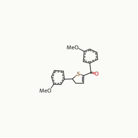 COc1cccc(C(=O)C2=CCC(c3cccc(OC)c3)S2)c1